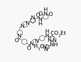 CCOC(=O)c1cnc(Nc2cnn(C)c2)nc1NC1CCC(N2CCN(C(=O)C3CCC(C(=O)N4CCC(CN5CCN(c6ccc(C(=O)NC7CCC(=O)NC7=O)nc6)CC5)CC4)CC3)CC2)CC1